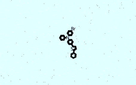 Brc1ccc(N(c2ccccc2)c2ccc(-c3ccc(C4=CCCC=C4)s3)cc2)cc1